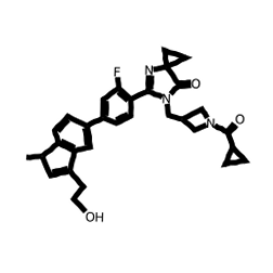 CC1C=C(CCO)c2cc(-c3ccc(C4=NC5(CC5)C(=O)N4CC4CN(C(=O)C5CC5)C4)c(F)c3)ccc21